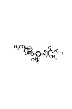 CCOC(=O)c1sc(-c2ccc(O[C@H]3CO[C@H]4[C@@H]3OC[C@@H]4OC)c([N+](=O)[O-])c2)nc1C